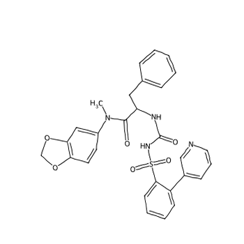 CN(C(=O)C(Cc1ccccc1)NC(=O)NS(=O)(=O)c1ccccc1-c1cccnc1)c1ccc2c(c1)OCO2